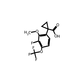 COc1c(C2(C(=O)O)CC2)ccc(OC(F)(F)F)c1F